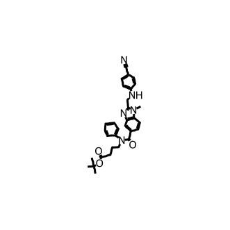 Cn1c(CNc2ccc(C#N)cc2)nc2cc(C(=O)N(CCCC(=O)OC(C)(C)C)c3ccccc3)ccc21